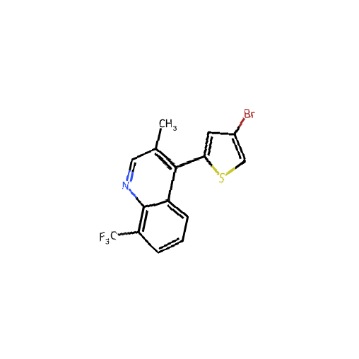 Cc1cnc2c(C(F)(F)F)cccc2c1-c1cc(Br)cs1